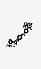 CON=C(COc1ccc(COc2ccc(-c3c(C(=O)OC)noc3C)cc2)cc1)c1ccccc1